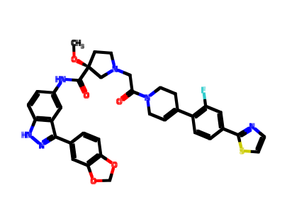 CO[C@@]1(C(=O)Nc2ccc3[nH]nc(-c4ccc5c(c4)OCO5)c3c2)CCN(CC(=O)N2CC=C(c3ccc(-c4nccs4)cc3F)CC2)C1